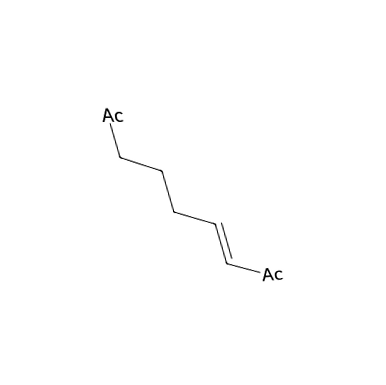 CC(=O)/C=C/CCCC(C)=O